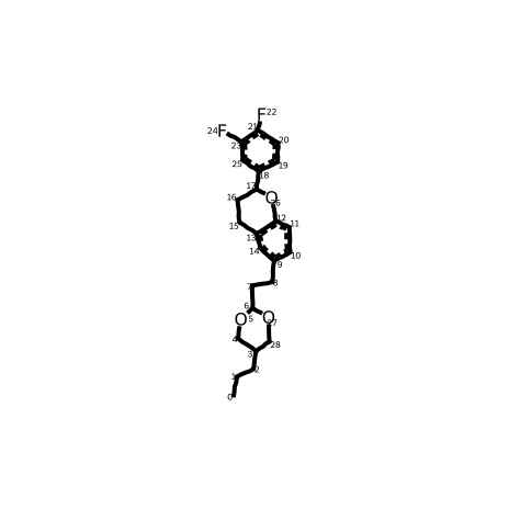 CCCC1COC(CCc2ccc3c(c2)CCC(c2ccc(F)c(F)c2)O3)OC1